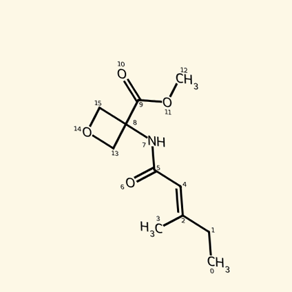 CC/C(C)=C/C(=O)NC1(C(=O)OC)COC1